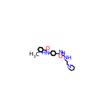 Cc1cccc(C(=O)Nc2ccc(-c3nnc(NCCCN4CCCCC4)o3)cc2)c1